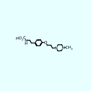 CN1CCN(CCCOc2ccc(CCNC(=O)O)cc2)CC1